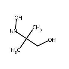 CC(C)(CO)NO